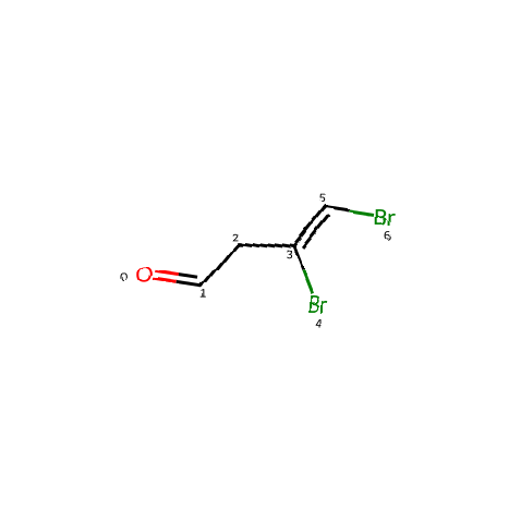 O=CCC(Br)=CBr